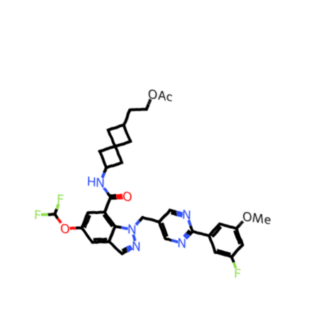 COc1cc(F)cc(-c2ncc(Cn3ncc4cc(OC(F)F)cc(C(=O)NC5CC6(CC(CCOC(C)=O)C6)C5)c43)cn2)c1